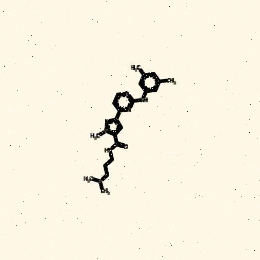 Cc1cc(C)cc(Nc2nccc(-c3cc(C(=O)NCCCN(C)C)n(C)n3)n2)c1